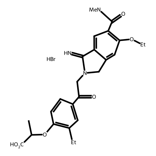 Br.CCOc1cc2c(cc1C(=O)NC)C(=N)N(CC(=O)c1ccc(OC(C)C(=O)O)c(CC)c1)C2